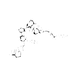 COC(=O)CNCc1nc2c(Nc3cccc(-c4cccc(-c5ccc(CNC[C@@H]6CCC(=O)N6)c(OC)n5)c4Cl)c3Cl)nccc2s1